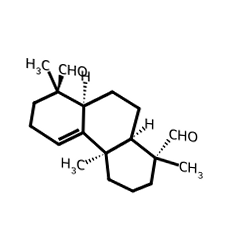 C[C@@]12CCC[C@@](C)(C=O)[C@@H]1CC[C@H]1C2=CCC[C@@]1(C)C=O